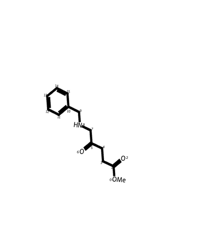 COC(=O)CCC(=O)CNCc1ccccc1